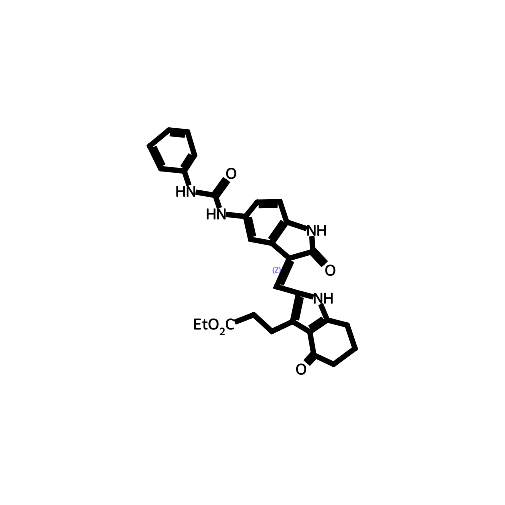 CCOC(=O)CCc1c(/C=C2\C(=O)Nc3ccc(NC(=O)Nc4ccccc4)cc32)[nH]c2c1C(=O)CCC2